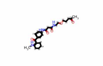 CNC1=C(C(=O)c2ccc(NC(=O)CC(=O)NCCOCCCC(C)=O)cc2)CCCC1